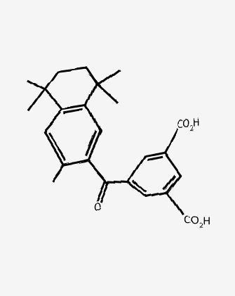 Cc1cc2c(cc1C(=O)c1cc(C(=O)O)cc(C(=O)O)c1)C(C)(C)CCC2(C)C